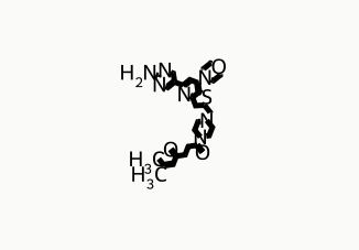 CC(C)=CC(=O)CCC(=O)N1CCN(CC2Cc3nc(-c4cnc(N)nc4)cc(N4CCOCC4)c3S2)CC1